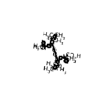 CC(=O)ON=C(c1ccc2c(c1)c1cc(C(=O)c3c(C)cc(C)cc3C)ccc1n2CCOCCOCCn1c2ccc(C(=O)c3c(C)cc(C)cc3C)cc2c2cc(C(=NCC(=O)O)c3ccccc3C)ccc21)c1ccccc1C